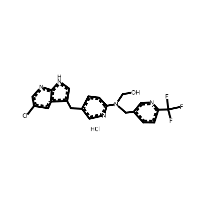 Cl.OCN(Cc1ccc(C(F)(F)F)nc1)c1ccc(Cc2c[nH]c3ncc(Cl)cc23)cn1